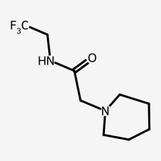 O=C(CN1CCCCC1)NCC(F)(F)F